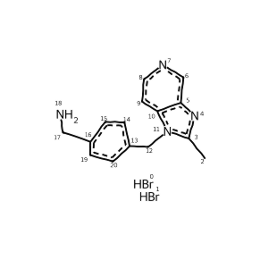 Br.Br.Cc1nc2cnccc2n1Cc1ccc(CN)cc1